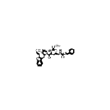 CCOC(=O)CCc1oc2ccccc2c1C[C@@H]1CCCN1C(=O)[C@H](CCCNC(=O)OCc1ccccc1)NC(=O)OC(C)(C)C